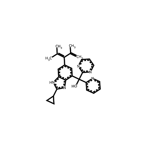 C=C(C)C(=C(C)C)c1cc(C(O)(c2ccccn2)c2ncccn2)c2nc(C3CC3)[nH]c2c1